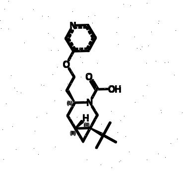 CC(C)(C)[C@@]12C[C@@H]1C[C@@H](CCOc1cccnc1)N(C(=O)O)C2